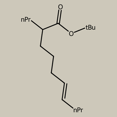 CCCC=CCCCC(CCC)C(=O)OC(C)(C)C